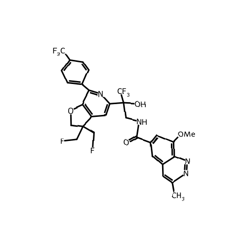 COc1cc(C(=O)NCC(O)(c2cc3c(c(-c4ccc(C(F)(F)F)cc4)n2)OCC3(CF)CF)C(F)(F)F)cc2cc(C)nnc12